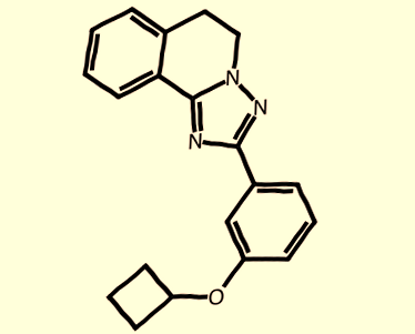 c1cc(OC2CCC2)cc(-c2nc3n(n2)CCc2ccccc2-3)c1